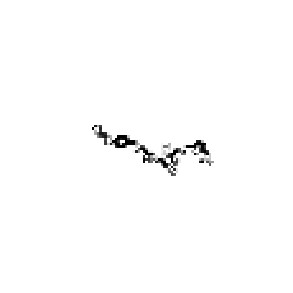 COCCOc1ccc(CSCCCNC(=C[N+](=O)[O-])NCCSCc2ccc(CN(C)C)o2)cc1